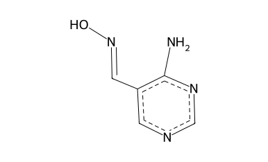 Nc1ncncc1C=NO